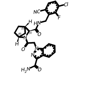 N#Cc1ccc(Cl)c(F)c1CNC(=O)[C@@H]1[C@H]2CC[C@H](C2)N1C(=O)Cn1nc(C(N)=O)c2ccccc21